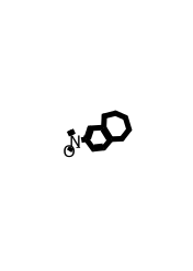 C=[N+]([O-])c1ccc2c(c1)CCCCC2